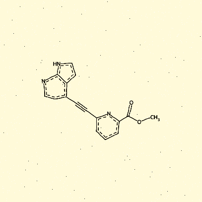 COC(=O)c1cccc(C#Cc2ccnc3[nH]ccc23)n1